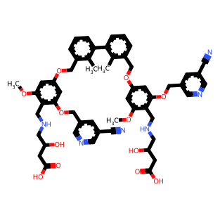 COc1cc(OCc2cccc(-c3cccc(COc4cc(OC)c(CNCC(O)CC(=O)O)c(OCc5cncc(C#N)c5)c4)c3C)c2C)cc(OCc2cncc(C#N)c2)c1CNCC(O)CC(=O)O